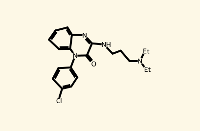 CCN(CC)CCCNc1nc2ccccc2n(-c2ccc(Cl)cc2)c1=O